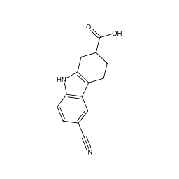 N#Cc1ccc2[nH]c3c(c2c1)CCC(C(=O)O)C3